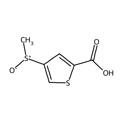 C[S+]([O-])c1csc(C(=O)O)c1